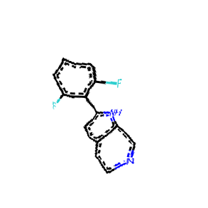 Fc1cccc(F)c1-c1cc2ccncc2[nH]1